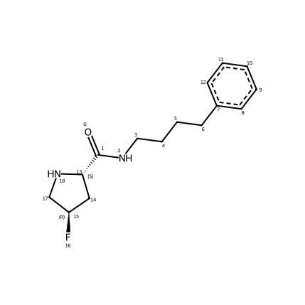 O=C(NCCCCc1ccccc1)[C@@H]1C[C@@H](F)CN1